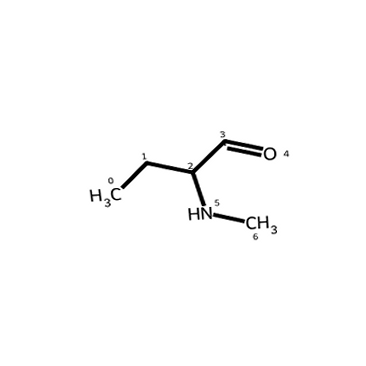 CCC([C]=O)NC